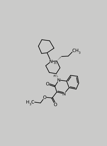 CCC[C@@H]1C[C@H](n2c(=O)c(C(=O)OCC)nc3ccccc32)CCN1C1CCCCC1